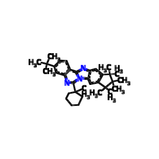 CC(C)(C)c1ccc2c(c1)nc(C1(C)CCCCC1)n1c3cc4c(cc3nc21)C(C)(C)C(C)(C)C4(C)C